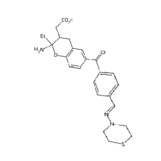 CCC1(N)Oc2ccc(C(=O)c3ccc(C=NN4CCSCC4)cc3)cc2CC1CC(=O)O